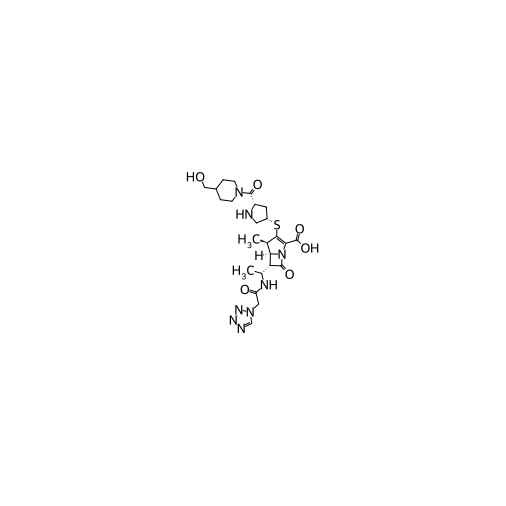 CC(NC(=O)Cn1cnnn1)[C@H]1C(=O)N2C(C(=O)O)=C(S[C@@H]3CN[C@H](C(=O)N4CCC(CO)CC4)C3)[C@H](C)[C@H]12